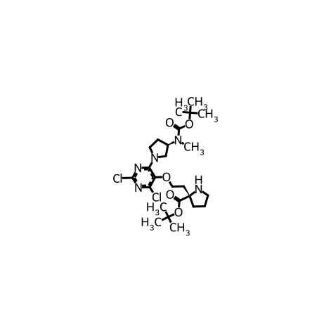 CN(C(=O)OC(C)(C)C)[C@@H]1CCN(c2nc(Cl)nc(Cl)c2OCC[C@]2(C(=O)OC(C)(C)C)CCCN2)C1